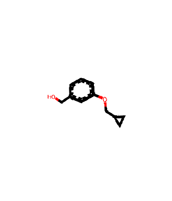 OCc1cc[c]c(OCC2CC2)c1